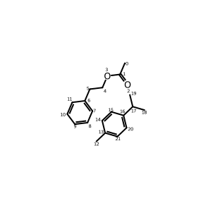 CC(=O)OCCc1ccccc1.Cc1ccc(C(C)C)cc1